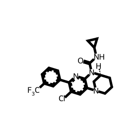 O=C(NC1CC1)N1c2nc(-c3cccc(C(F)(F)F)c3)c(Cl)cc2N2CCC[C@H]1C2